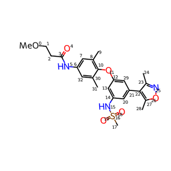 COCCC(=O)Nc1cc(C)c(Oc2cc(NS(C)(=O)=O)cc(-c3c(C)noc3C)c2)c(C)c1